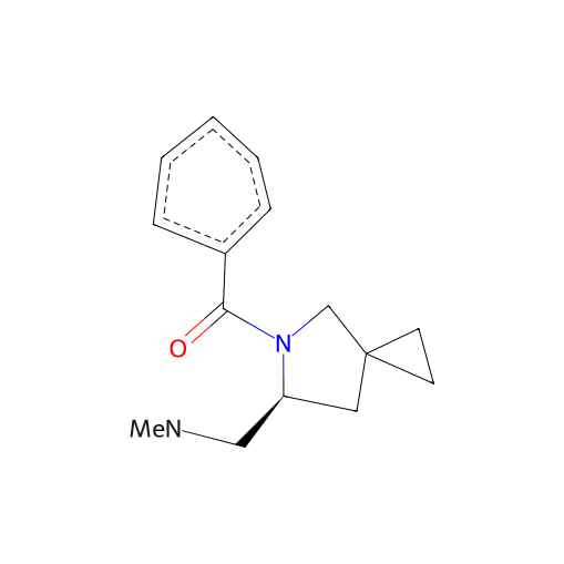 CNC[C@@H]1CC2(CC2)CN1C(=O)c1ccccc1